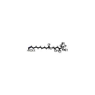 CCCCCCCC/C=C\CCCCCCCC(=O)OC[C@@H](O)CC(Cl)P(=O)(OCC)OCC